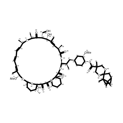 CO[C@H]1C[C@@H]2CC[C@@H](C)[C@@](O)(O2)C(=O)C(=O)N2CCCC[C@H]2C(=O)O[C@H]([C@H](C)C[C@@H]2CC[C@@H](OC(=O)C3(C)COC4(CC5CCC4(C)C5(C)C)OC3)[C@@H](OC)C2)CC(=O)[C@H](C)/C=C(\C)[C@@H](O)[C@@H](CO)C(=O)[C@H](C)C[C@H](C)/C=C/C=C/C=C/1C